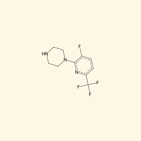 Fc1ccc(C(F)(F)F)nc1N1CCNCC1